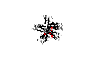 CCCC[Si](CCCC)(CCCC)[C]([Sm+][C]([Si](CCCC)(CCCC)CCCC)([Si](CCCC)(CCCC)CCCC)[Si](CCCC)(CCCC)CCCC)([Si](CCCC)(CCCC)CCCC)[Si](CCCC)(CCCC)CCCC